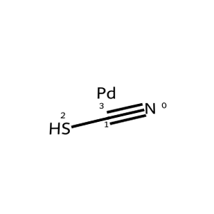 N#CS.[Pd]